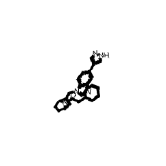 O=C(CC1CCCCC1)N1C2CCC1C(Cn1cnc3cc(-c4cn[nH]c4)ccc31)C2